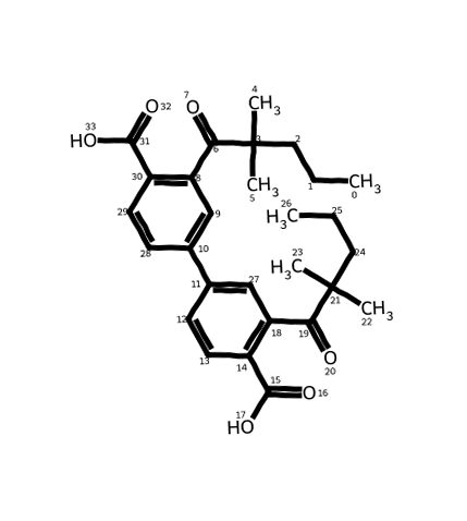 CCCC(C)(C)C(=O)c1cc(-c2ccc(C(=O)O)c(C(=O)C(C)(C)CCC)c2)ccc1C(=O)O